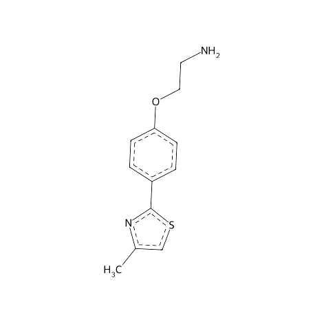 Cc1csc(-c2ccc(OCCN)cc2)n1